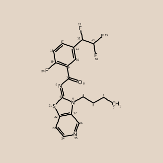 CCCCn1c(=NC(=O)c2cc(C(F)C(F)F)ccc2F)sc2ccncc21